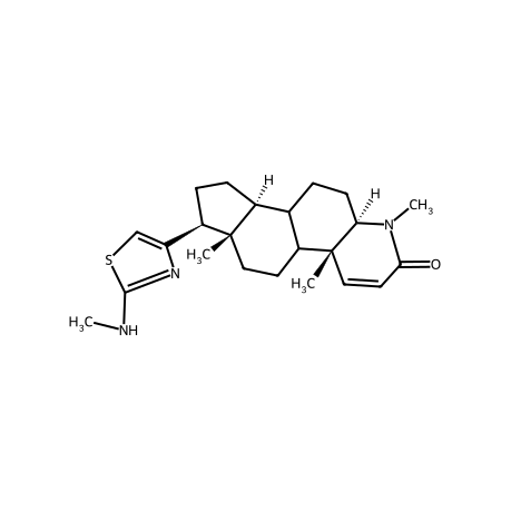 CNc1nc([C@H]2CC[C@H]3C4CC[C@H]5N(C)C(=O)C=C[C@]5(C)C4CC[C@]23C)cs1